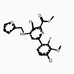 COC(=O)c1nc(-c2ccc(Cl)c(OC)c2F)cc(NCc2ccco2)c1Cl